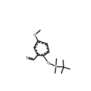 COc1ccc(O[Si](C)(C)C(C)(C)C)c(C=O)c1